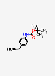 C#CCc1ccc(NC(=O)OC(C)(C)C)cc1